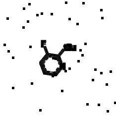 CC(C)(C)c1ncccc1F